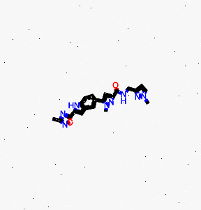 Cc1noc(-c2cc3cc(-c4cc(C(=O)NCc5ccn(C)n5)nn4C)ccc3[nH]2)n1